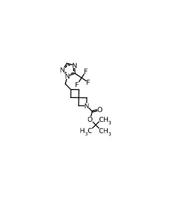 CC(C)(C)OC(=O)N1CC2(CC(Cn3ncnc3C(F)(F)F)C2)C1